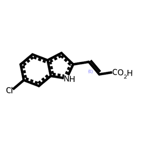 O=C(O)/C=C/c1cc2ccc(Cl)cc2[nH]1